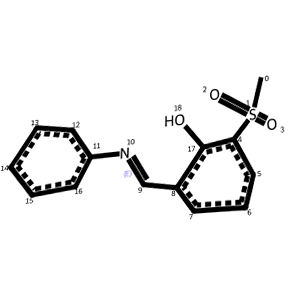 CS(=O)(=O)c1cccc(/C=N/c2ccccc2)c1O